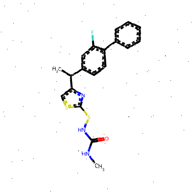 CNC(=O)NSc1nc(C(C)c2ccc(-c3ccccc3)c(F)c2)cs1